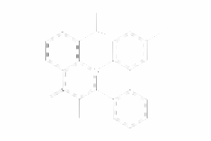 Cc1c(-c2ccccc2)n(-c2ccc(Cl)cc2)c2c(C(C)C)cccc2c1=O